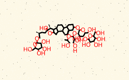 CC(CO)OC(O[C@@H]1C(OC2CC[C@@]3(C)C(=CCC4C5CC6OC(O)(CC[C@H](C)COC7OC(CO)C(O)[C@@H](O)[C@@H]7O)[C@@H](C)C6[C@@]5(C)CCC43)C2)OC(CO)C(OC2OC(CO)C(O)[C@@H](O)[C@@H]2O)[C@H]1O)[C@@H](O)CO